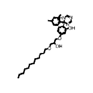 CCCCCCCCCCCCOCC(O)COc1ccc([C@]2(c3ccc(C)cc3C)N=CN=CN2)c(O)c1